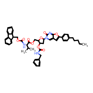 CCCCCc1ccc(-c2cc3cn(C4CC(OC(=O)NCc5ccccc5)C(COC(=O)[C@@H](NC(=O)OCC5c6ccccc6-c6ccccc65)C(C)C)O4)c(=O)nc3o2)cc1